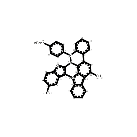 CCCCCc1ccc(N2B3c4oc5ccc(C(C)(C)C)cc5c4-n4c5ccccc5c5c(C)cc(c3c54)-c3ccccc32)cc1